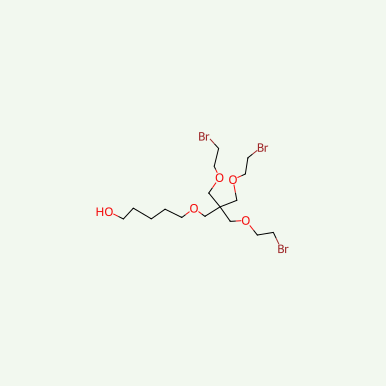 OCCCCCOCC(COCCBr)(COCCBr)COCCBr